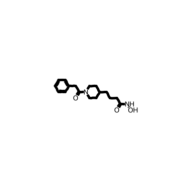 O=C(CCCC1CCN(C(=O)Cc2ccccc2)CC1)NO